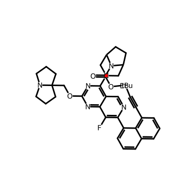 CCC#Cc1cccc2cccc(-c3ncc4c(N5CC6CCC(C5)N6C(=O)OC(C)(C)C)nc(OCC56CCCN5CCC6)nc4c3F)c12